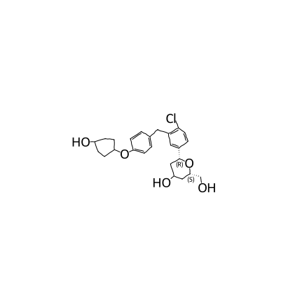 OC[C@@H]1CC(O)C[C@H](c2ccc(Cl)c(Cc3ccc(OC4CCC(O)CC4)cc3)c2)O1